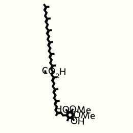 CC(=O)O.COc1c(O)c(C)c(C/C=C(\C)CC/C=C(\C)CC/C=C(\C)CC/C=C(\C)CC/C=C(\C)CC/C=C(\C)CC/C=C(\C)CC/C=C(\C)CC/C=C(\C)CCC=C(C)C)c(O)c1OC